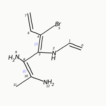 C=CNC(=C(\Br)C=C)/C(N)=C(/C)N